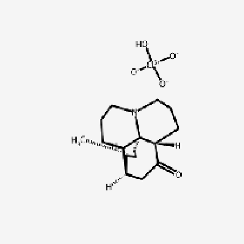 C[C@@H]1C[C@H]2CC(=O)[C@H]3CCCN4CCC[C@H]2[C@]34C1.[O-][Cl+3]([O-])([O-])O